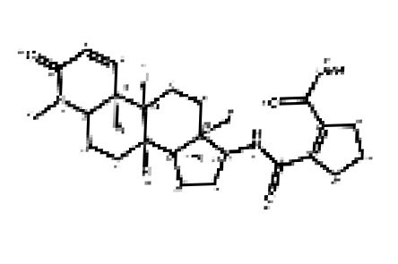 COC(=O)C1=C(C(=O)NC2CC[C@H]3[C@@H]4CCC5N(C)C(=O)C=C[C@]5(C)[C@@H]4CC[C@]23C)CCC1